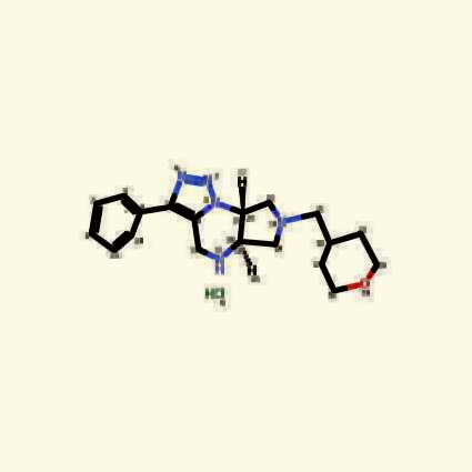 Cl.c1ccc(-c2nnn3c2CN[C@@H]2CN(CC4CCOCC4)C[C@H]23)cc1